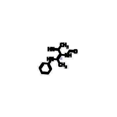 CC(=N)/C(NC=O)=C(/C)Nc1ccccc1